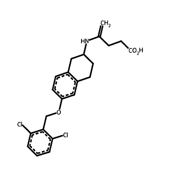 C=C(CCC(=O)O)NC1CCc2cc(OCc3c(Cl)cccc3Cl)ccc2C1